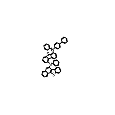 c1ccc(-c2ccc(N(c3ccccc3)c3cccc4c3sc3cccc(N(c5ccccc5)c5cc6ccccc6c6sc7ccccc7c56)c34)cc2)cc1